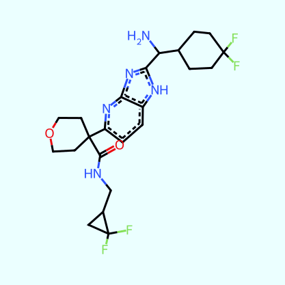 NC(c1nc2nc(C3(C(=O)NCC4CC4(F)F)CCOCC3)ccc2[nH]1)C1CCC(F)(F)CC1